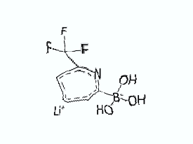 O[B-](O)(O)c1cccc(C(F)(F)F)n1.[Li+]